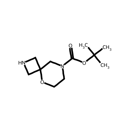 CC(C)(C)OC(=O)N1CCOC2(CNC2)C1